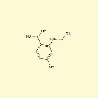 CCNc1cc(O)ccc1B(O)O